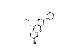 CCCCN1c2ccc(Br)cc2Oc2cc(-c3ccccc3)ccc21